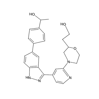 CC(O)c1ccc(-c2ccc3[nH]nc(-c4ccnc(N5CCOC(CCO)C5)c4)c3c2)cc1